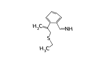 C=C(CSCC)c1ccccc1C=N